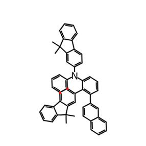 CC1(C)c2ccccc2-c2ccc(-c3c(-c4ccc5ccccc5c4)cccc3N(c3ccccc3)c3ccc4c(c3)C(C)(C)c3ccccc3-4)cc21